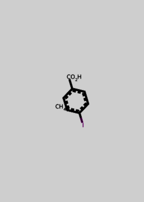 C.O=C(O)c1ccc(I)cc1